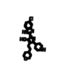 Oc1c(CCC2CCOCC2)c(C2CCNCC2)nn1-c1nc2cc(Cl)ccc2[nH]1